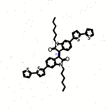 CCCCCCN1C(=O)/C(=C2/C(=O)N(CCCCCC)c3cc(-c4ccc(-c5cccs5)s4)ccc32)c2ccc(-c3ccc(-c4cccs4)s3)cc21